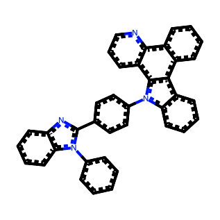 c1ccc(-n2c(-c3ccc(-n4c5ccccc5c5c6ccccc6c6ncccc6c54)cc3)nc3ccccc32)cc1